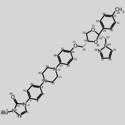 CCC(C)n1ncn(-c2ccc(N3CCN(c4ccc(OC[C@@H]5CO[C@@](Cn6cccn6)(c6ccc(C)cc6)O5)cc4)CC3)cc2)c1=O